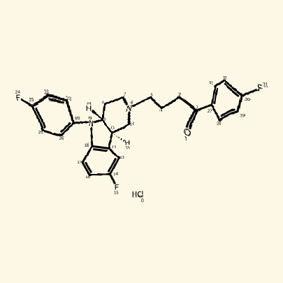 Cl.O=C(CCCN1CC[C@@H]2[C@@H](C1)c1cc(F)ccc1N2c1ccc(F)cc1)c1ccc(F)cc1